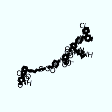 CC1(C)CCC(CN2CCN(c3ccc(C(=O)NS(=O)(=O)c4ccc(NCC5CCN(C(=O)COCCOCCCC#Cc6cccc7c6C(=O)N(C6CCC(=O)NC6=O)C7=O)CC5)c([N+](=O)[O-])c4)c(Oc4cnc5[nH]ccc5c4)c3)CC2)=C(c2ccc(Cl)cc2)C1